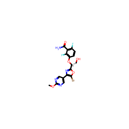 COc1ncc(-c2nc([C@@H](CO)Oc3ccc(F)c(C(N)=O)c3F)oc2Br)cn1